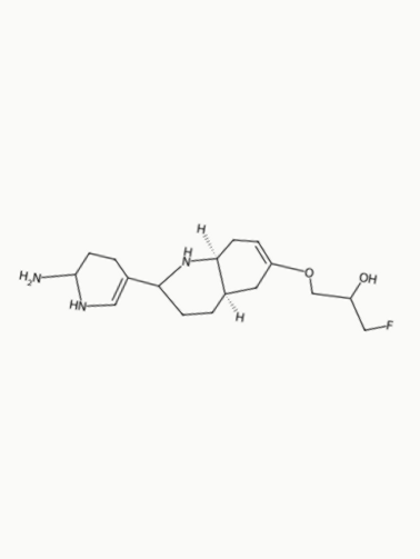 NC1CCC(C2CC[C@@H]3CC(OCC(O)CF)=CC[C@@H]3N2)=CN1